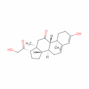 C[C@]12CC(=O)[C@H]3[C@@H](CC=C4C=C(O)CC[C@@]43C)[C@@H]1CC[C@@H]2C(=O)CO